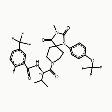 CC(C)[C@@H](NC(=O)c1cc(C(F)(F)F)ccc1F)C(=O)N1CCC2(CC1)C(=O)N(C)C(=O)N2c1ccc(OC(F)(F)F)cc1